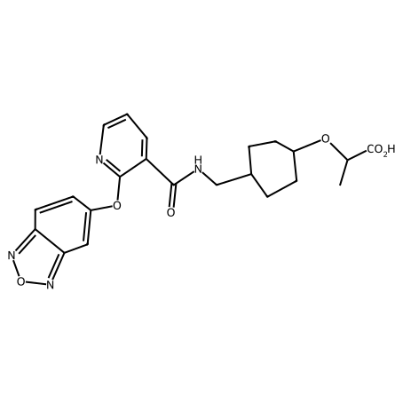 CC(OC1CCC(CNC(=O)c2cccnc2Oc2ccc3nonc3c2)CC1)C(=O)O